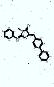 CN1C(=O)/C(=C/c2ccc(-c3ccccc3)cc2)S/C1=N/c1ccccc1